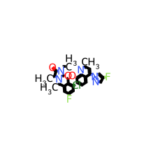 CCN1C(=O)C(C)N(C(C)c2cc(F)cc(Cl)c2COc2cccc3c(-n4cc(F)cn4)cc(C)nc23)C1=O